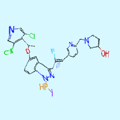 CC(Oc1ccc2c(c1)c(/C(F)=C/c1ccc(CN3CCC(O)C3)nc1)nn2PI)c1c(Cl)cncc1Cl